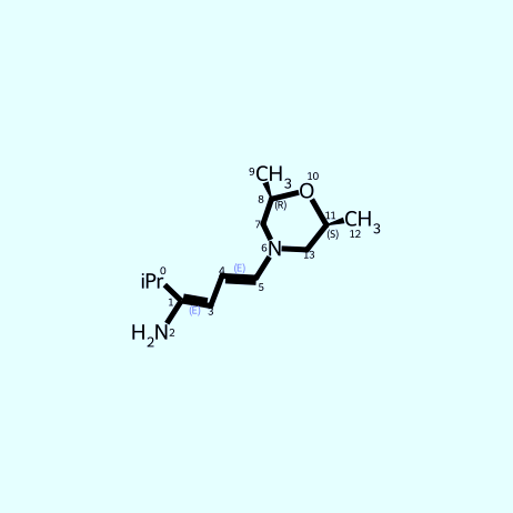 CC(C)/C(N)=C\C=C\N1C[C@@H](C)O[C@@H](C)C1